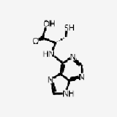 O=C(O)[C@H](CS)Nc1ncnc2[nH]cnc12